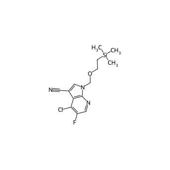 C[Si](C)(C)CCOCn1cc(C#N)c2c(Cl)c(F)cnc21